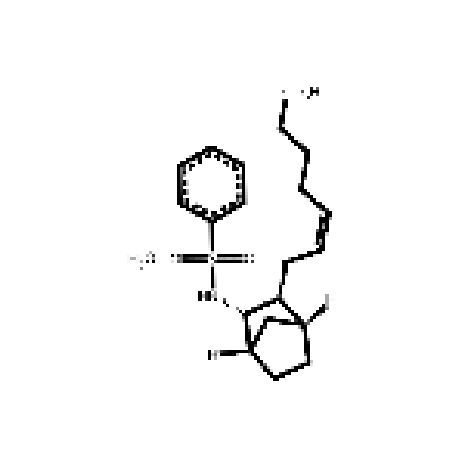 O.O=C(O)CCC/C=C\C[C@H]1[C@@H]2CC[C@@H](C2)[C@@H]1NS(=O)(=O)c1ccccc1